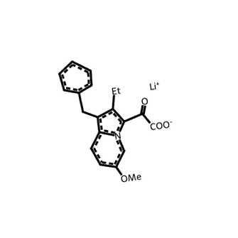 CCc1c(Cc2ccccc2)c2ccc(OC)cn2c1C(=O)C(=O)[O-].[Li+]